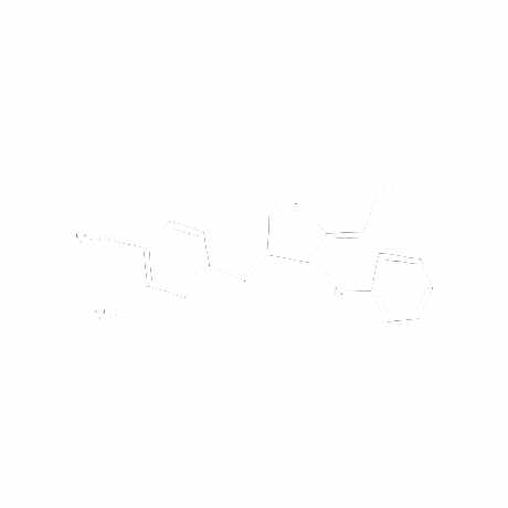 COc1ccc(C=C2CCc3c2nc2ccccc2c3C(=O)O)cc1OC